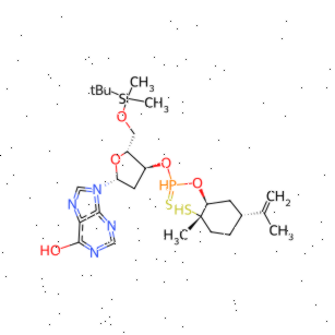 C=C(C)[C@@H]1CC[C@](C)(S)[C@@H](O[PH](=S)O[C@H]2C[C@H](n3cnc4c(O)ncnc43)O[C@@H]2CO[Si](C)(C)C(C)(C)C)C1